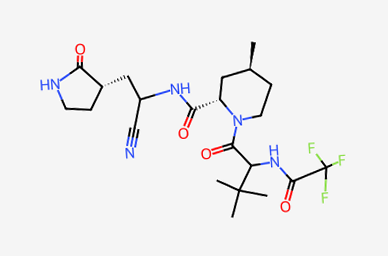 C[C@H]1CCN(C(=O)C(NC(=O)C(F)(F)F)C(C)(C)C)[C@H](C(=O)NC(C#N)C[C@@H]2CCNC2=O)C1